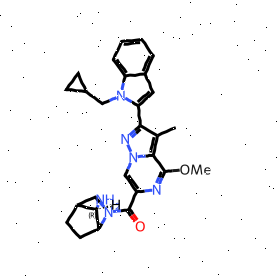 COc1nc(C(=O)N2CC3CCC2[C@@H]3N)cn2nc(-c3cc4ccccc4n3CC3CC3)c(C)c12